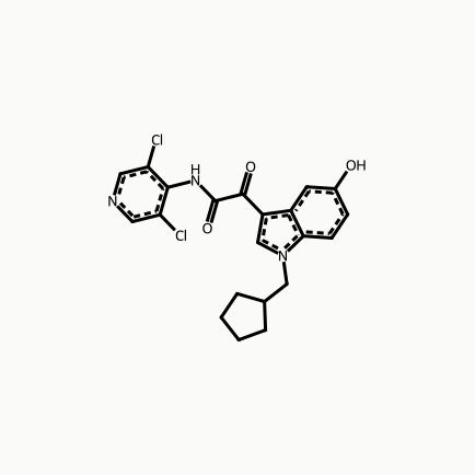 O=C(Nc1c(Cl)cncc1Cl)C(=O)c1cn(CC2CCCC2)c2ccc(O)cc12